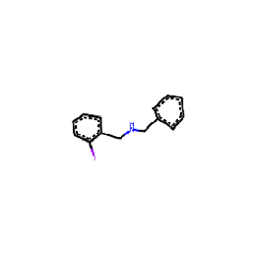 Ic1ccccc1CN[CH]c1ccccc1